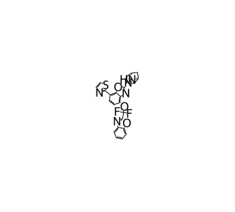 FC(F)(Oc1ccc(-c2nccs2)c2oc(N3CC4CC(C3)N4)nc12)c1nc2ccccc2o1